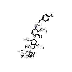 Cn1c(=O)n(C2C[C@](C)(COP(=O)(O)CP(=O)(O)O)C(O)C2O)cc/c1=N/OCc1ccc(Cl)cc1